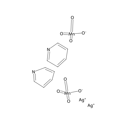 [Ag+].[Ag+].[O]=[Mn](=[O])(=[O])[O-].[O]=[Mn](=[O])(=[O])[O-].c1ccncc1.c1ccncc1